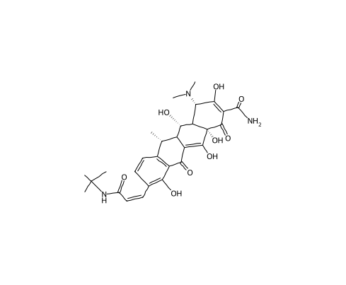 C[C@H]1c2ccc(/C=C\C(=O)NC(C)(C)C)c(O)c2C(=O)C2=C(O)[C@]3(O)C(=O)C(C(N)=O)=C(O)[C@@H](N(C)C)C3[C@@H](O)C21